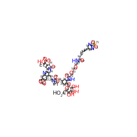 CC[C@@]1(O)C(=O)OCc2c1cc1n(c2=O)Cc2c-1nc1cc3c(cc1c2CCN(C(=O)OCc1ccc(O[C@@H]2O[C@H](C(=O)O)[C@@H](O)[C@H](O)[C@H]2O)c(NC(=O)COCCOCCNC(=O)CCCC#Cc2cnc(S(C)(=O)=O)nc2)c1)C(C)C)OCO3